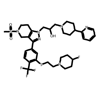 CS(=O)(=O)N1CCc2c(c(-c3ccc(C(F)(F)F)c(SCCN4CCC(F)CC4)c3)nn2CC(O)CN2CCC(c3ccccn3)CC2)C1